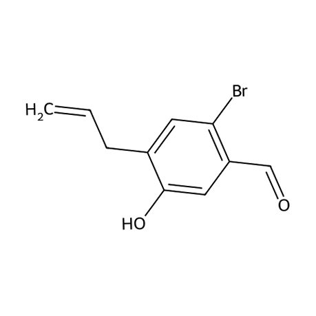 C=CCc1cc(Br)c(C=O)cc1O